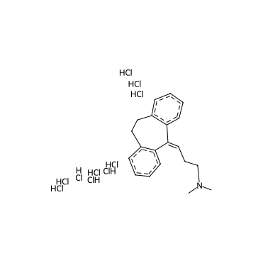 CN(C)CCC=C1c2ccccc2CCc2ccccc21.Cl.Cl.Cl.Cl.Cl.Cl.Cl.Cl.Cl.Cl